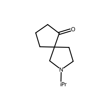 CC(C)N1CCC2(CCCC2=O)C1